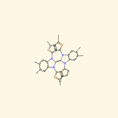 Cc1ccc(N2C(=C3N(c4ccc(C)s4)c4cc(C)c(C)cc4N3c3ccc(C)s3)N(c3ccc(C)s3)c3cc(C)c(C)cc32)s1